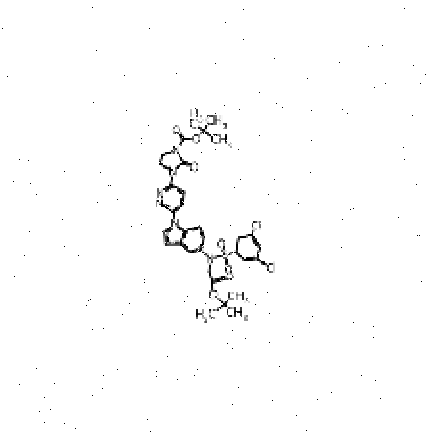 CC(C)(C)OC(=O)CN(c1ccc2c(ccn2-c2ccc(N3CCN(C(=O)OC(C)(C)C)C3=O)nn2)c1)S(=O)(=O)C1C=C(Cl)C=C(Cl)C1